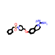 N=C(N)N1CCc2ccc(OCC3CCN(S(=O)(=O)Cc4ccccc4)CC3)cc2C1